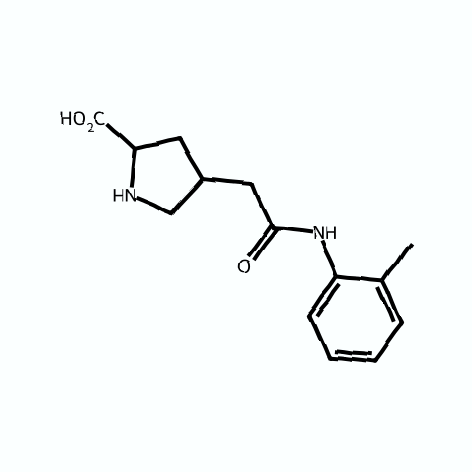 Cc1ccccc1NC(=O)CC1CNC(C(=O)O)C1